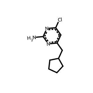 Nc1nc(Cl)cc(CC2CCCC2)n1